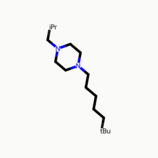 CC(C)CN1CCN(CCCCCC(C)(C)C)CC1